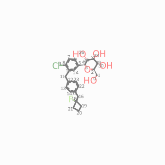 OC[C@H]1O[C@@H](c2ccc(Cl)c(Cc3ccc(CC4(F)CCC4)cc3)c2)[C@H](O)[C@@H](O)[C@@H]1O